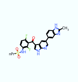 CCCS(=O)(=O)Nc1ccc(F)c(C(=O)c2c[nH]c3ncc(-c4ccc5[nH]c(C)nc5c4)cc23)c1F